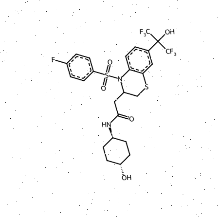 O=C(CC1CSc2cc(C(O)(C(F)(F)F)C(F)(F)F)ccc2N1S(=O)(=O)c1ccc(F)cc1)N[C@H]1CC[C@H](O)CC1